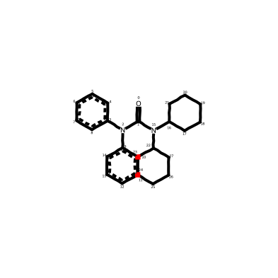 O=C(N(c1ccccc1)c1ccccc1)N(C1CCCCC1)C1CCCCC1